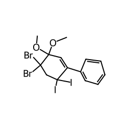 COC1(OC)C=C(c2ccccc2)C(I)(I)CC1(Br)Br